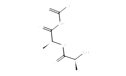 C=C(CC)NC(=O)[C@H](C)NC(=O)[C@H](C)N